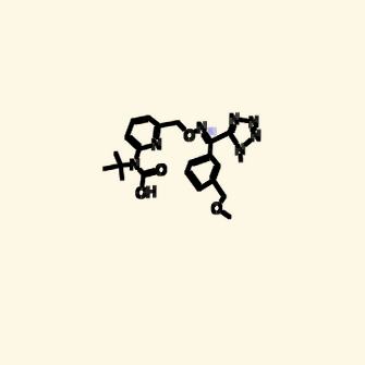 COCc1cccc(/C(=N\OCc2cccc(N(C(=O)O)C(C)(C)C)n2)c2nnnn2C)c1